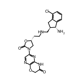 N[C@H]1c2cccc(Cl)c2C[C@@H]1CNCC[C@@H]1CN(c2cnc3c(n2)NC(=O)CO3)C(=O)O1